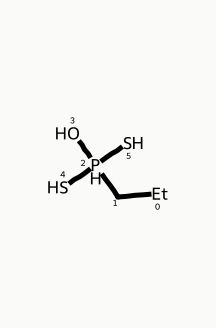 CCC[PH](O)(S)S